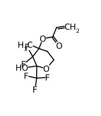 C=CC(=O)OC1(C)CCOC(O)(C(F)(F)F)C1(F)F